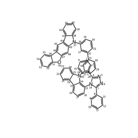 c1ccc(-c2nnc(-c3ccccc3)n2-c2cccc3c4ccccc4n(-c4cccc(-c5cccc(-n6c7ccccc7c7cc8c(cc76)oc6ccccc68)c5)c4)c23)cc1